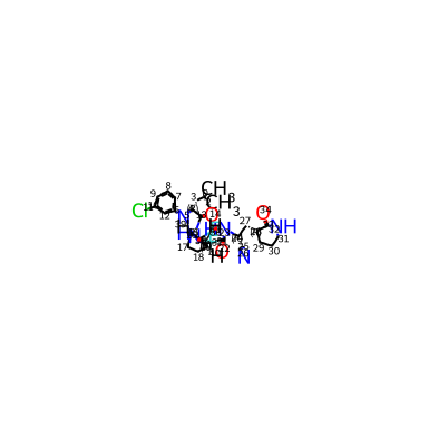 CC(C)C[C@@H](Nc1cccc(Cl)c1)C(=O)N1[C@@H]2CC[C@H]([C@H]1C(=O)N[C@@H](C#N)C[C@H]1CCCNC1=O)C(F)(F)C2